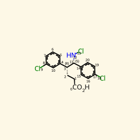 O=C(O)CC[C@H](c1cccc(Cl)c1)[C@H](NCl)c1ccc(Cl)cc1